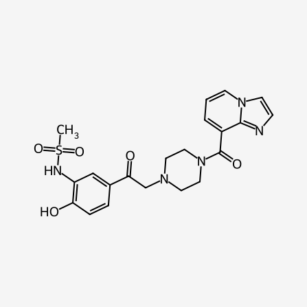 CS(=O)(=O)Nc1cc(C(=O)CN2CCN(C(=O)c3cccn4ccnc34)CC2)ccc1O